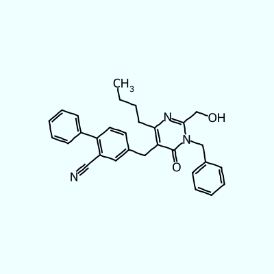 CCCCc1nc(CO)n(Cc2ccccc2)c(=O)c1Cc1ccc(-c2ccccc2)c(C#N)c1